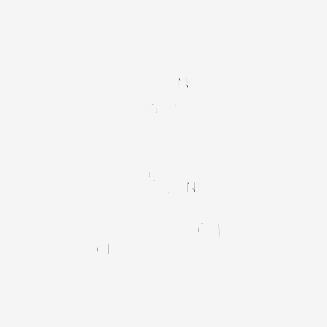 CN(C)C(=O)c1cccc(NC(=O)c2cc(Cl)ccc2O)c1